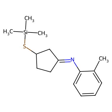 Cc1ccccc1N=C1CCC(S[Si](C)(C)C)C1